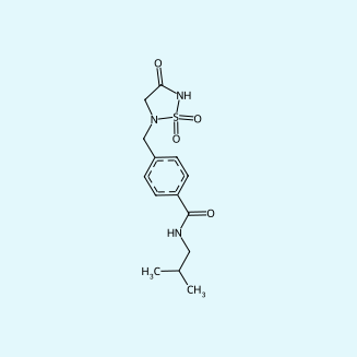 CC(C)CNC(=O)c1ccc(CN2CC(=O)NS2(=O)=O)cc1